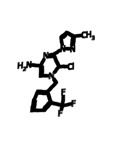 Cc1ccn(C2=NC(N)=CN(Cc3ccccc3C(F)(F)F)C2Cl)n1